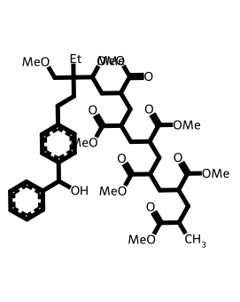 CCC(CCc1ccc(C(O)c2ccccc2)cc1)(COC)C(CC(CC(CC(CC(CC(CC(C)C(=O)OC)C(=O)OC)C(=O)OC)C(=O)OC)C(=O)OC)C(=O)OC)OC